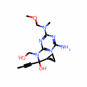 CC#CC(O)(C1=CC1)N(CO)c1nc(N)nc(N(C)COC)n1